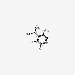 Cc1nnc(Br)c(F)c1C(C)C